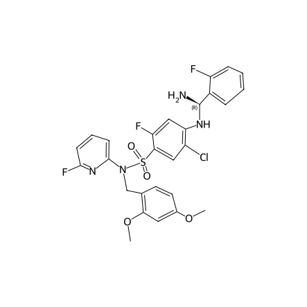 COc1ccc(CN(c2cccc(F)n2)S(=O)(=O)c2cc(Cl)c(N[C@@H](N)c3ccccc3F)cc2F)c(OC)c1